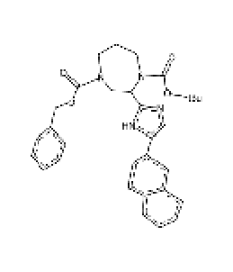 CC(C)(C)OC(=O)N1CCCN(C(=O)OCc2ccccc2)CC1c1ncc(-c2ccc3ccccc3c2)[nH]1